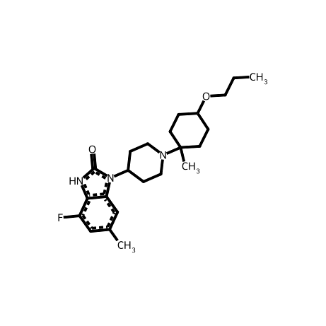 CCCOC1CCC(C)(N2CCC(n3c(=O)[nH]c4c(F)cc(C)cc43)CC2)CC1